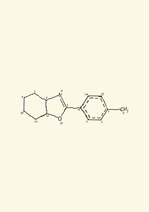 Cc1ccc(C2=NC3CCCCC3O2)cc1